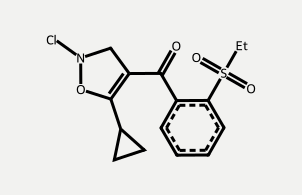 CCS(=O)(=O)c1ccccc1C(=O)C1=C(C2CC2)ON(Cl)C1